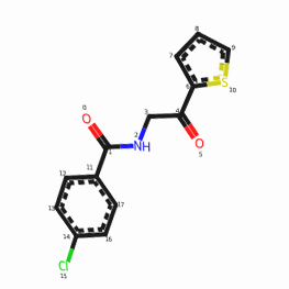 O=C(NCC(=O)c1cccs1)c1ccc(Cl)cc1